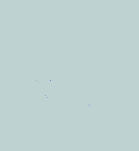 c1ccc(-c2ccc(-c3nc(-c4ccccc4)nc(-c4ccc(-n5c6ccccc6c6cc7ccccc7cc65)c5oc6ccccc6c45)n3)cc2)cc1